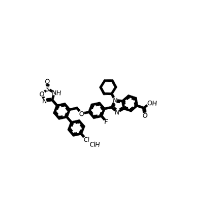 Cl.O=C(O)c1ccc2c(c1)nc(-c1ccc(OCc3cc(C4=NOS(=O)N4)ccc3-c3ccc(Cl)cc3)cc1F)n2C1CCCCC1